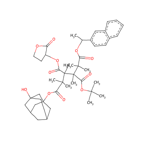 CC(OC(=O)C(C)(C)C(C)(C(=O)OC(C)(C)C)C(C)(C(=O)OC1CCOC1=O)C(C)(C)C(=O)OC12CC3CC(CC(O)(C3)C1)C2)c1ccc2ccccc2c1